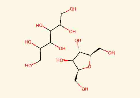 OCC(O)C(O)C(O)C(O)CO.OC[C@@H]1O[C@H](CO)[C@@H](O)[C@@H]1O